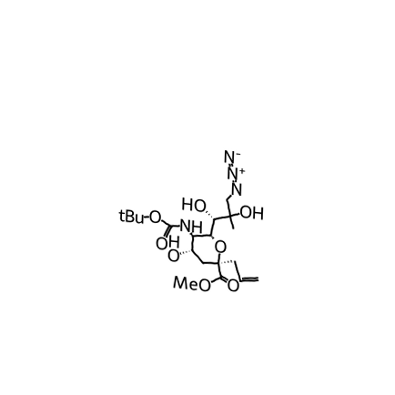 C=CC[C@]1(C(=O)OC)C[C@H](O)[C@@H](NC(=O)OC(C)(C)C)[C@H]([C@H](O)C(C)(O)CN=[N+]=[N-])O1